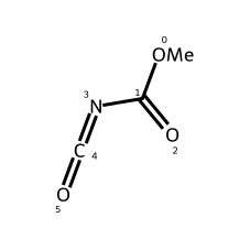 COC(=O)N=C=O